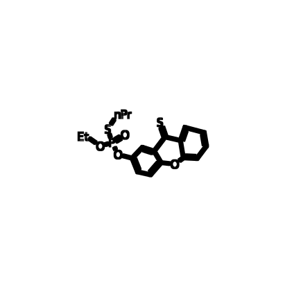 CCCSP(=O)(OCC)Oc1ccc2oc3ccccc3c(=S)c2c1